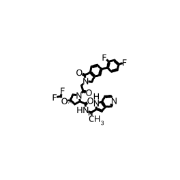 C[C@@H](NC(=O)C1C[C@@H](OC(F)F)CN1C(=O)CN1Cc2cc(-c3ccc(F)cc3F)ccc2C1=O)c1cc2cnccc2[nH]1